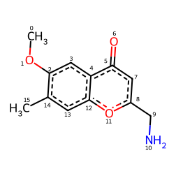 COc1cc2c(=O)cc(CN)oc2cc1C